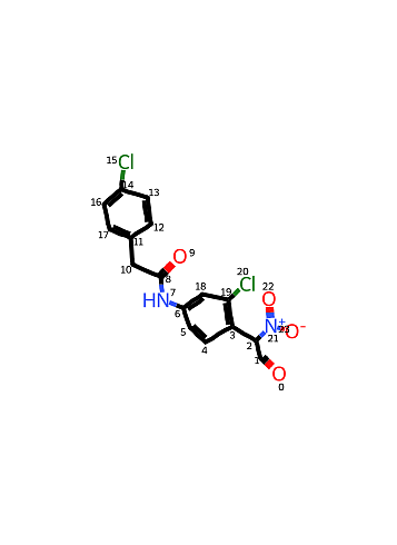 O=CC(c1ccc(NC(=O)Cc2ccc(Cl)cc2)cc1Cl)[N+](=O)[O-]